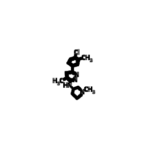 Cc1cc(-c2cc(C)c(N[C@@H]3CCCN(C)C3)nn2)ccc1Cl